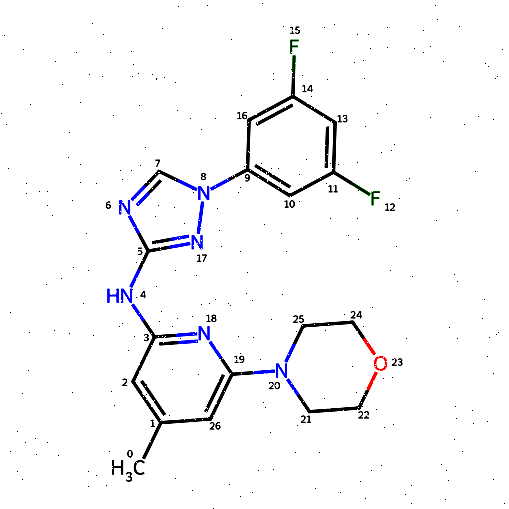 Cc1cc(Nc2ncn(-c3cc(F)cc(F)c3)n2)nc(N2CCOCC2)c1